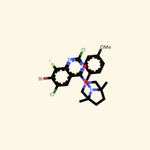 COc1ccc(CN2C3(C)CCC2(C)CN(c2nc(Cl)nc4c(F)c(Br)c(Cl)cc24)C3)cc1